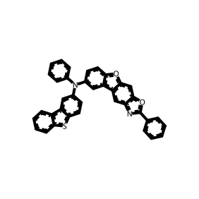 c1ccc(-c2nc3cc4c(cc3o2)oc2ccc(N(c3ccccc3)c3ccc5sc6ccccc6c5c3)cc24)cc1